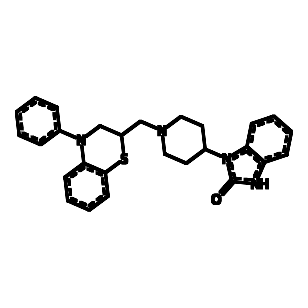 O=c1[nH]c2ccccc2n1C1CCN(CC2CN(c3ccccc3)c3ccccc3S2)CC1